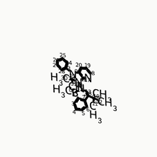 CB1c2ccccc2C(C(C)(C)C)=CN1N1c2ncccc2N(c2ccccc2)C1(C)C